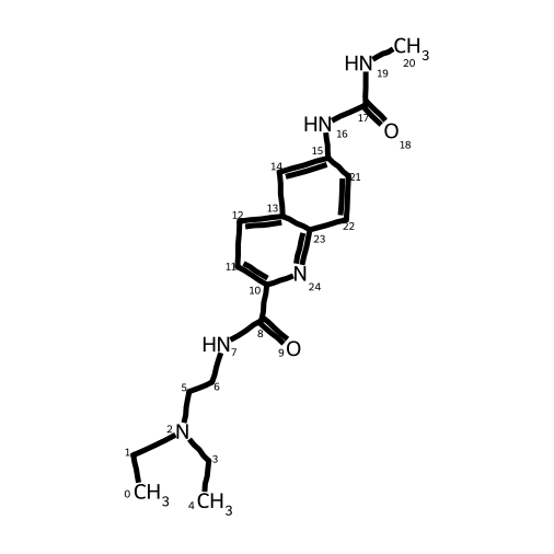 CCN(CC)CCNC(=O)c1ccc2cc(NC(=O)NC)ccc2n1